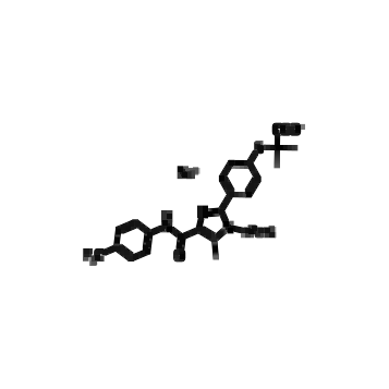 CCCCCn1c(-c2ccc(SC(C)(C)C(=O)[O-])cc2)nc(C(=O)Nc2ccc(C(F)(F)F)cc2)c1C.[Na+]